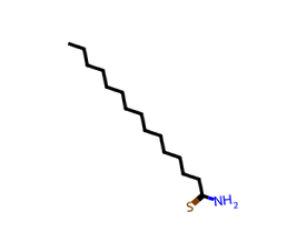 CCCCCCCCCCCCCCC(N)=S